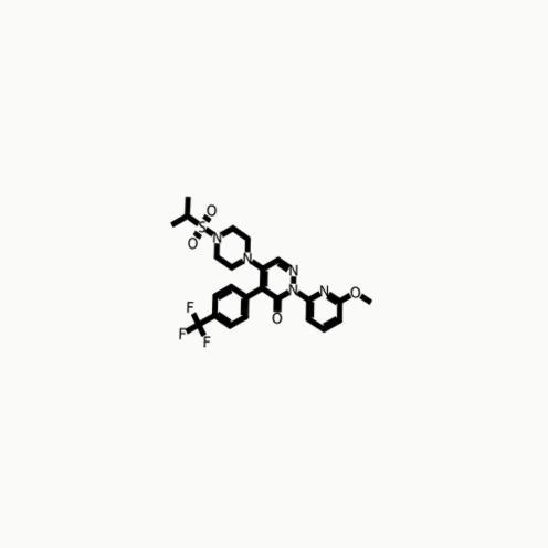 COc1cccc(-n2ncc(N3CCN(S(=O)(=O)C(C)C)CC3)c(-c3ccc(C(F)(F)F)cc3)c2=O)n1